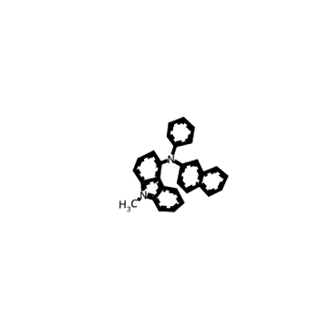 Cn1c2ccccc2c2c(N(c3ccccc3)c3ccc4ccccc4c3)cccc21